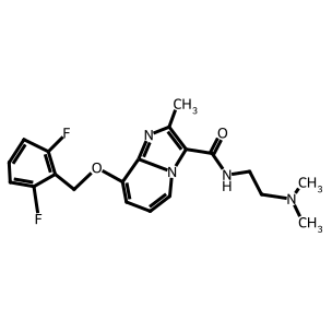 Cc1nc2c(OCc3c(F)cccc3F)cccn2c1C(=O)NCCN(C)C